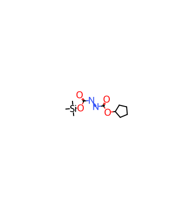 C[Si](C)(C)OC(=O)/N=N/C(=O)OC1CCCC1